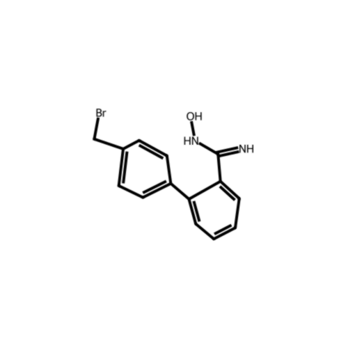 N=C(NO)c1ccccc1-c1ccc(CBr)cc1